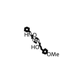 COc1ccc(CCC(O)CN2CCN(CC(=O)NCc3ccccc3)CC2)cc1